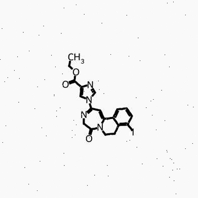 CCOC(=O)c1cn(C2=NCC(=O)N3CCc4c(I)cccc4C3=C2)cn1